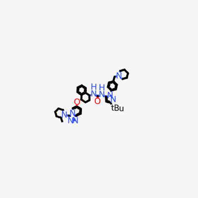 CC1CCCCN1c1nnc2ccc(O[C@@H]3CC[C@H](NC(=O)Nc4cc(C(C)(C)C)nn4-c4ccc(CN5CCCCC5)cc4)c4ccccc43)cn12